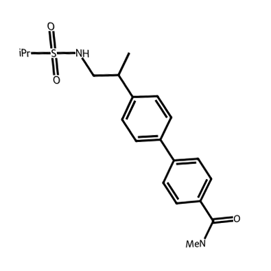 CNC(=O)c1ccc(-c2ccc(C(C)CNS(=O)(=O)C(C)C)cc2)cc1